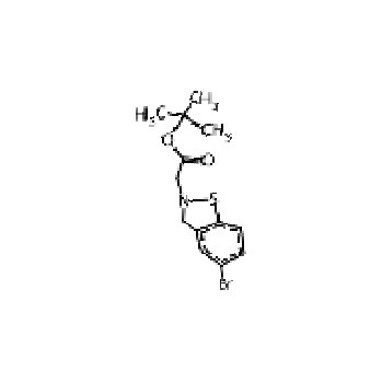 CC(C)(C)OC(=O)CN1Cc2cc(Br)ccc2S1